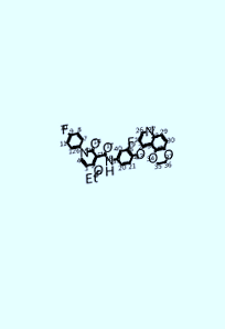 CCOc1ccn(-c2ccc(F)cc2)c(=O)c1C(=O)Nc1ccc(Oc2ccnc3ccc4c(c23)OCCO4)c(F)c1